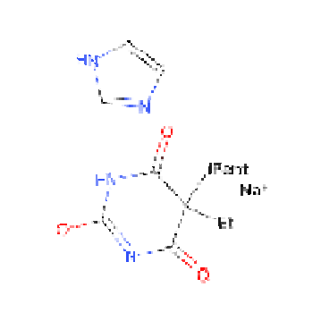 CCCC(C)C1(CC)C(=O)N=C([O-])NC1=O.[Na+].c1c[nH]cn1